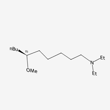 CCCC[C@@H](CCCCCN(CC)CC)OC